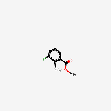 [CH2]c1c(F)cccc1C(=O)OC(C)C